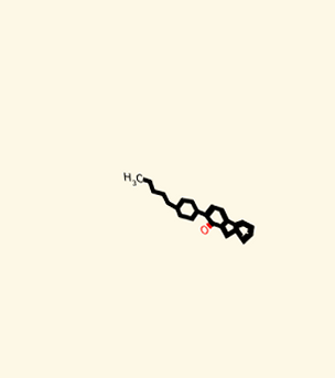 CCCCCC1CCC(C2=CC=C3C(=Cc4ccccc43)C2=O)CC1